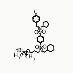 CC(C)(C)[Si](C)(C)OCCCN(CC1CCCCC1)S(=O)(=O)c1ccc(S(=O)(=O)N(Cc2ccc(Cl)cc2)C2CCCC2)cc1